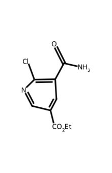 CCOC(=O)c1cnc(Cl)c(C(N)=O)c1